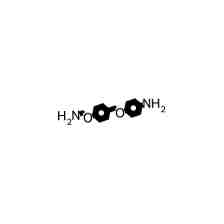 NCOc1ccc(COc2ccc(N)cc2)cc1